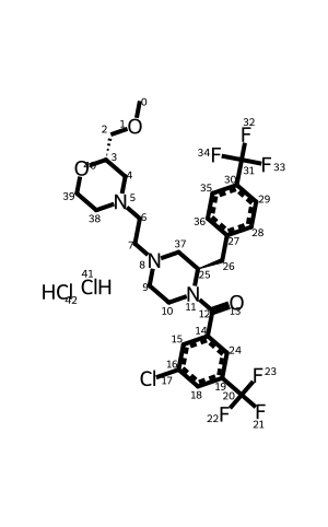 COC[C@@H]1CN(CCN2CCN(C(=O)c3cc(Cl)cc(C(F)(F)F)c3)[C@H](Cc3ccc(C(F)(F)F)cc3)C2)CCO1.Cl.Cl